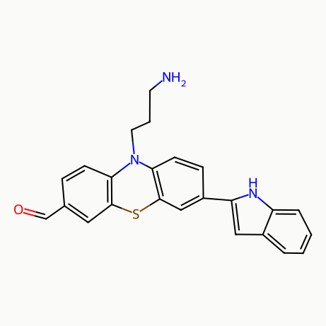 NCCCN1c2ccc(C=O)cc2Sc2cc(-c3cc4ccccc4[nH]3)ccc21